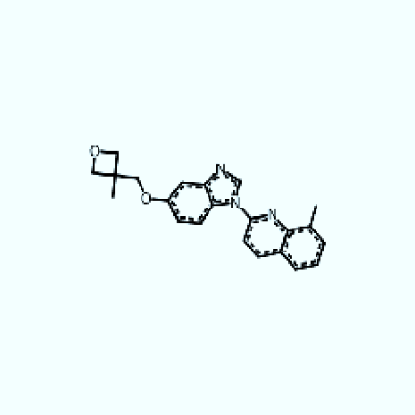 Cc1cccc2ccc(-n3cnc4cc(OCC5(C)COC5)ccc43)nc12